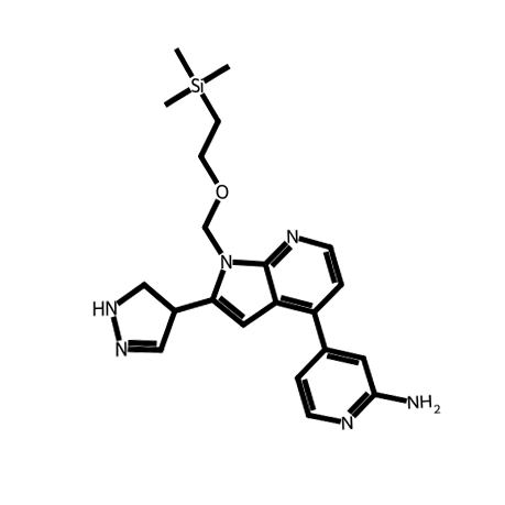 C[Si](C)(C)CCOCn1c(C2C=NNC2)cc2c(-c3ccnc(N)c3)ccnc21